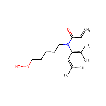 C=CC(=O)N(CCCCCOO)C(C=C(C)C)=C(C)C